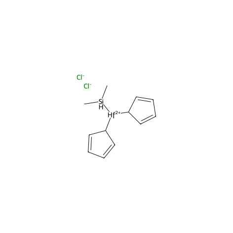 C[SiH](C)[Hf+2]([CH]1C=CC=C1)[CH]1C=CC=C1.[Cl-].[Cl-]